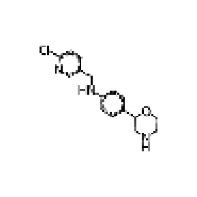 Clc1ccc(CNc2ccc(C3CNCCO3)cc2)cn1